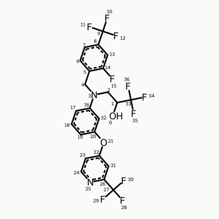 OC(CN(Cc1ccc(C(F)(F)F)cc1F)c1cccc(Oc2ccnc(C(F)(F)F)c2)c1)C(F)(F)F